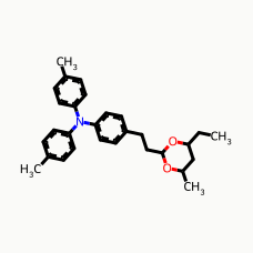 CCC1CC(C)OC(CCc2ccc(N(c3ccc(C)cc3)c3ccc(C)cc3)cc2)O1